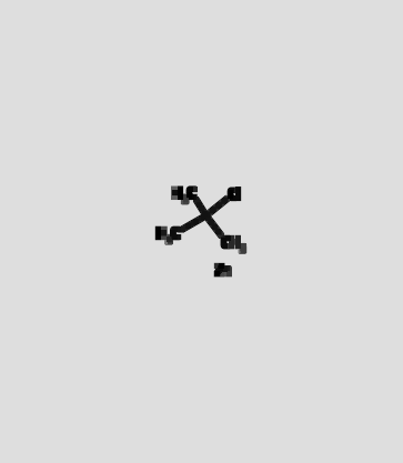 CC(C)(C)Cl.[Zn]